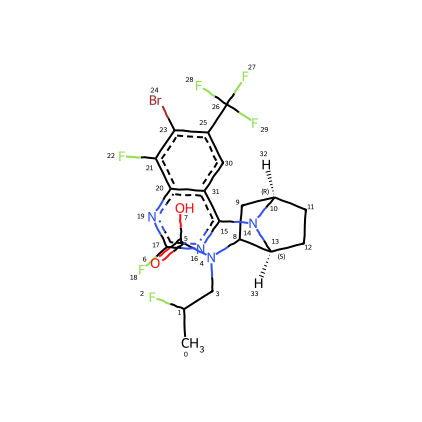 CC(F)CN(C(=O)O)C1C[C@H]2CC[C@@H]1N2c1nc(F)nc2c(F)c(Br)c(C(F)(F)F)cc12